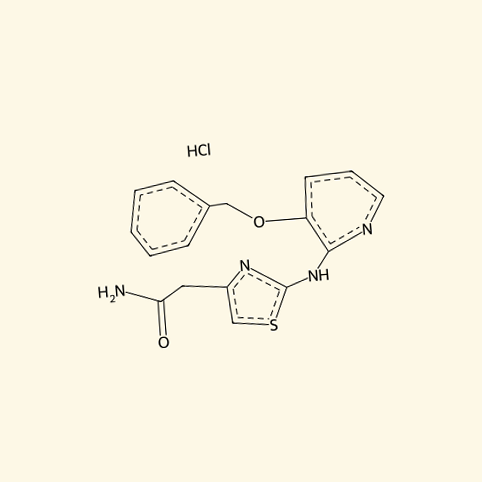 Cl.NC(=O)Cc1csc(Nc2ncccc2OCc2ccccc2)n1